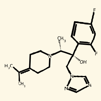 CC(C)=C1CCN([C@H](C)[C@](O)(Cn2cncn2)c2ccc(F)cc2F)CC1